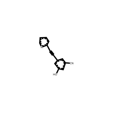 N#Cc1cc(O)cc(C#Cc2ccccn2)c1